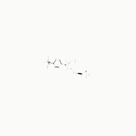 C[Si](C)(C)C#CCCCC(O)c1ccc(C(F)(F)F)cc1